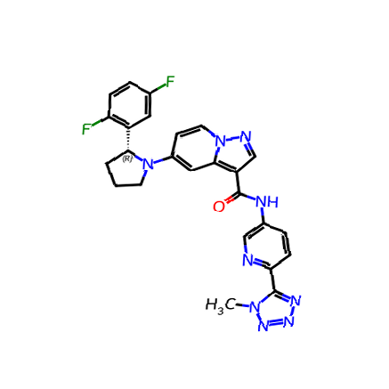 Cn1nnnc1-c1ccc(NC(=O)c2cnn3ccc(N4CCC[C@@H]4c4cc(F)ccc4F)cc23)cn1